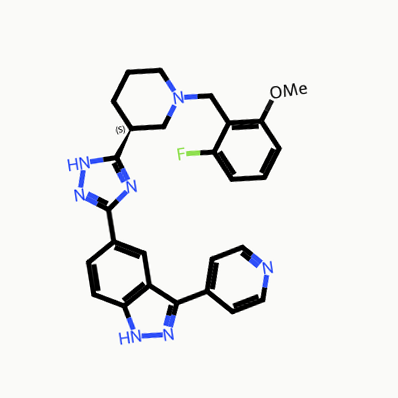 COc1cccc(F)c1CN1CCC[C@H](c2nc(-c3ccc4[nH]nc(-c5ccncc5)c4c3)n[nH]2)C1